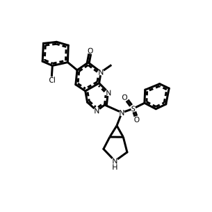 Cn1c(=O)c(-c2ccccc2Cl)cc2cnc(N(C3C4CNCC43)S(=O)(=O)c3ccccc3)nc21